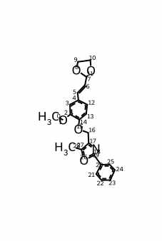 COc1cc(C=CC2OCCO2)ccc1OCc1nc(-c2ccccc2)oc1C